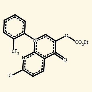 CCOC(=O)Oc1cn(-c2ccccc2C(F)(F)F)c2nc(Cl)ccc2c1=O